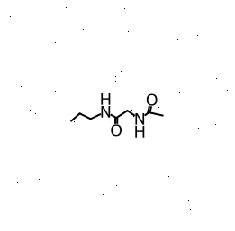 CCCNC(=O)CNC(C)=O